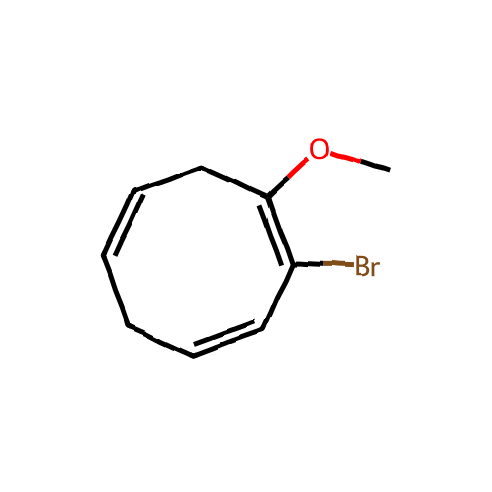 CO/C1=C(Br)/C=C\C/C=C\C1